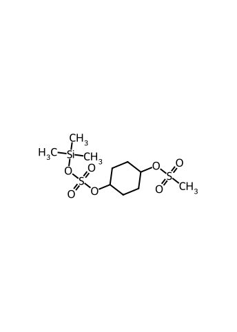 C[Si](C)(C)OS(=O)(=O)OC1CCC(OS(C)(=O)=O)CC1